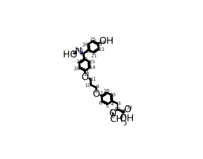 CO[C@@H](Cc1ccc(OCCCOc2ccc(/C(=N\O)c3ccc(O)cc3)cc2)cc1)C(=O)O